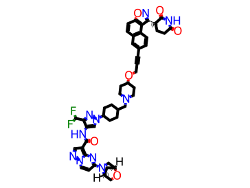 O=C1CC[C@H](c2noc3ccc4cc(C#CCOC5CCN(CC6CCC(n7cc(NC(=O)c8cnn9ccc(N%10C[C@H]%11C[C@@H]%10CO%11)nc89)c(C(F)F)n7)CC6)CC5)ccc4c23)C(=O)N1